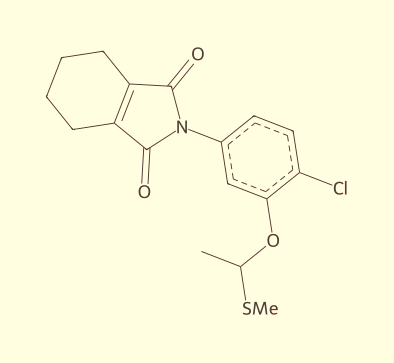 CSC(C)Oc1cc(N2C(=O)C3=C(CCCC3)C2=O)ccc1Cl